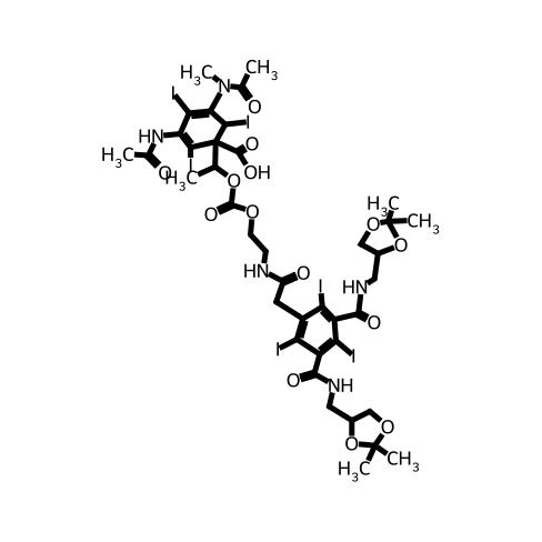 CC(=O)NC1=C(I)C(C(=O)O)(C(C)OC(=O)OCCNC(=O)Cc2c(I)c(C(=O)NCC3COC(C)(C)O3)c(I)c(C(=O)NCC3COC(C)(C)O3)c2I)C(I)C(N(C)C(C)=O)=C1I